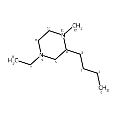 CCCCC1CN(CC)CCN1C